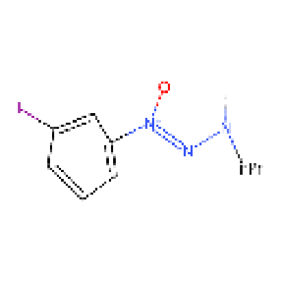 CCCN(C)/N=[N+](\[O-])c1cccc(I)c1